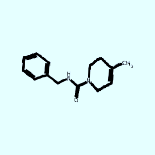 CC1=CCN(C(=O)NCc2ccccc2)CC1